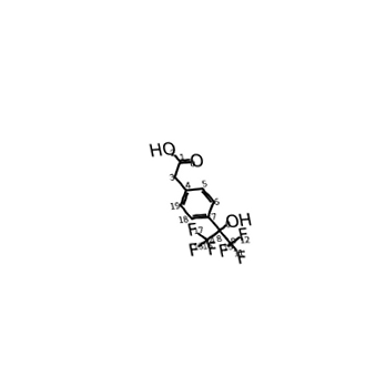 O=C(O)Cc1ccc(C(O)(C(F)(F)F)C(F)(F)F)cc1